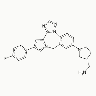 NC[C@H]1CCN(c2ccc3c(c2)Cn2cc(-c4ccc(F)cc4)cc2-c2ncnn2-3)C1